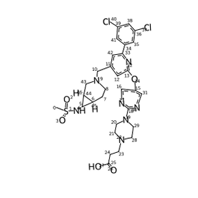 CS(=O)(=O)N[C@H]1[C@@H]2CCN(Cc3cc(Oc4cnc(N5CCN(CCC(=O)O)CC5)nc4)nc(-c4cc(Cl)cc(Cl)c4)c3)C[C@@H]21